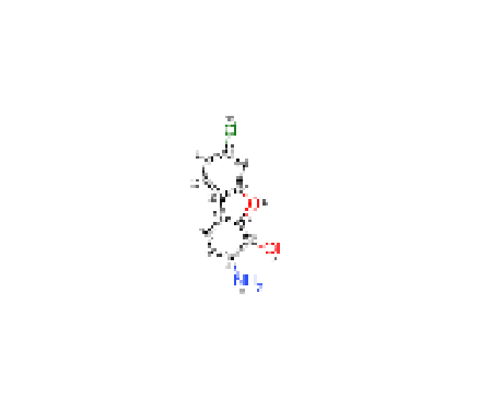 Nc1ccc2c(oc3cc(Cl)ccc32)c1O